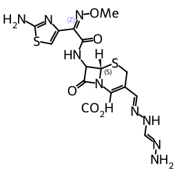 CO/N=C(\C(=O)NC1C(=O)N2C(C(=O)O)=C(C=NNC=NN)CS[C@@H]12)c1csc(N)n1